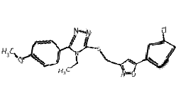 CCn1c(SCc2cc(-c3cccc(Cl)c3)on2)nnc1-c1ccc(OC)cc1